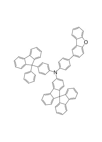 c1ccc(C2(c3ccc(N(c4ccc(-c5ccc6oc7ccccc7c6c5)cc4)c4ccc5c(c4)-c4ccccc4C54c5ccccc5-c5ccccc54)cc3)c3ccccc3-c3ccccc32)cc1